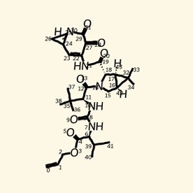 C=CCOC(=O)[C@@H](NC(=O)N[C@H](C(=O)N1C[C@H]2[C@@H]([C@H]1C(=O)N/C(=C/C1CC1)C(=O)C(N)=O)C2(C)C)C(C)(C)C)C(C)C